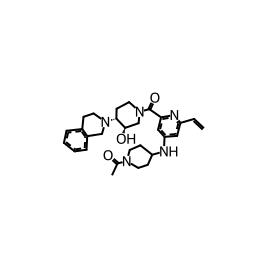 C=Cc1cc(NC2CCN(C(C)=O)CC2)cc(C(=O)N2CC[C@@H](N3CCc4ccccc4C3)[C@H](O)C2)n1